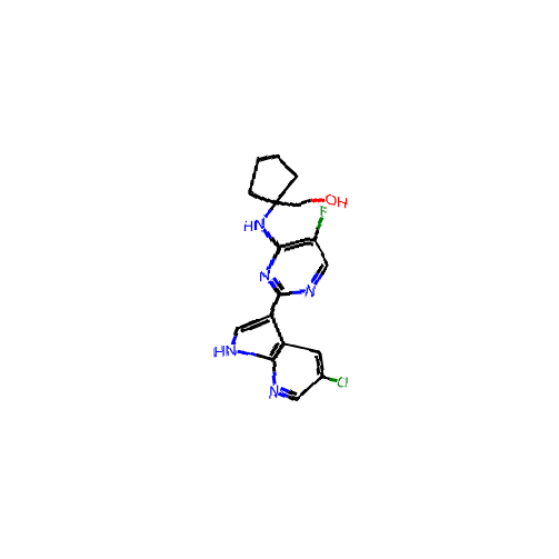 OCC1(Nc2nc(-c3c[nH]c4ncc(Cl)cc34)ncc2F)CCCC1